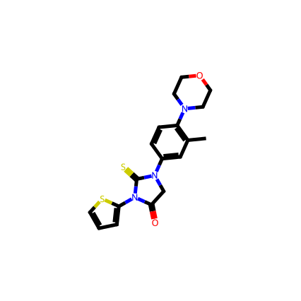 Cc1cc(N2CC(=O)N(c3cccs3)C2=S)ccc1N1CCOCC1